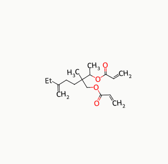 C=CC(=O)OCC(C)(CCC(=C)CC)C(C)OC(=O)C=C